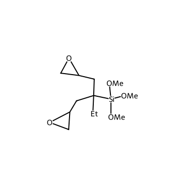 CCC(CC1CO1)(CC1CO1)[Si](OC)(OC)OC